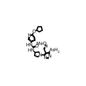 CON=Cc1c([AsH2])ncnc1N1CCC(NC(=O)Nc2ccc(OC3CCCC3)nc2)C1